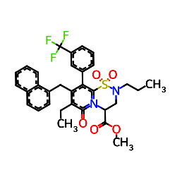 CCCN1CC(C(=O)OC)n2c(c(-c3cccc(C(F)(F)F)c3)c(Cc3cccc4ccccc34)c(CC)c2=O)S1(=O)=O